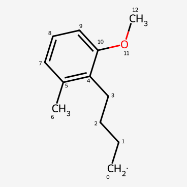 [CH2]CCCc1c(C)cccc1OC